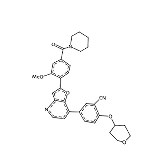 COc1cc(C(=O)N2CCCCC2)ccc1-c1cc2nccc(-c3ccc(OC4CCOCC4)c(C#N)c3)c2o1